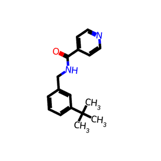 CC(C)(C)c1cccc(CNC(=O)c2ccncc2)c1